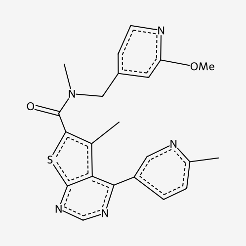 COc1cc(CN(C)C(=O)c2sc3ncnc(-c4ccc(C)nc4)c3c2C)ccn1